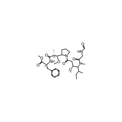 CCC(C)C(C(CC(=O)N1CCCC1C(OC)[C@@H](C)C(=O)N[C@@H](Cc1ccccc1)C(=O)OC)OC)N(C)C(=O)CNC=O